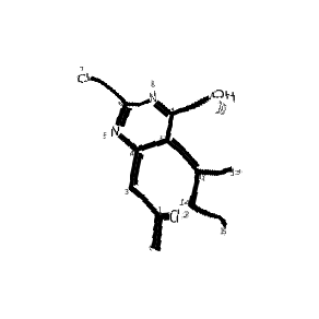 C=C(Cl)/C=c1/nc(Cl)nc(O)/c1=C(\C)CC